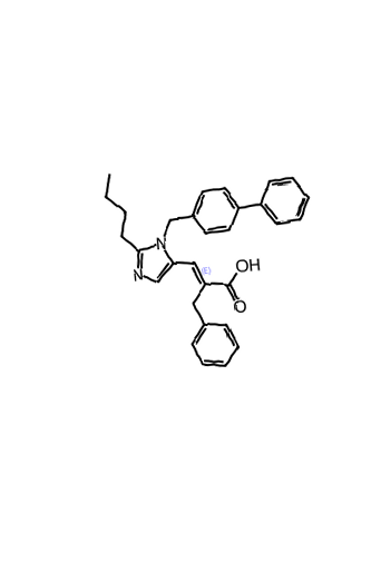 CCCCc1ncc(/C=C(\Cc2ccccc2)C(=O)O)n1Cc1ccc(-c2ccccc2)cc1